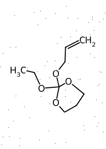 C=CCOC1(OCC)OCCCO1